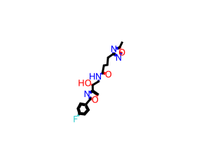 Cc1nc(CCCC(=O)NCC(O)c2coc(-c3ccc(F)cc3)n2)no1